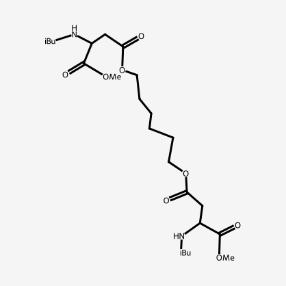 CCC(C)NC(CC(=O)OCCCCCCOC(=O)CC(NC(C)CC)C(=O)OC)C(=O)OC